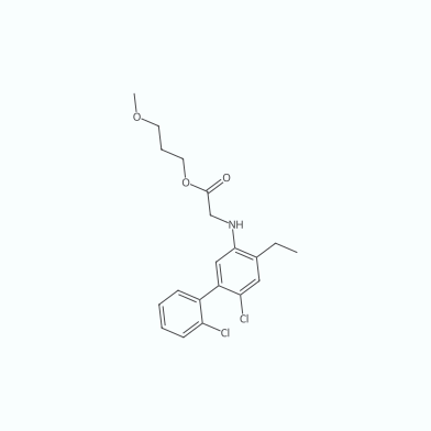 CCc1cc(Cl)c(-c2ccccc2Cl)cc1NCC(=O)OCCCOC